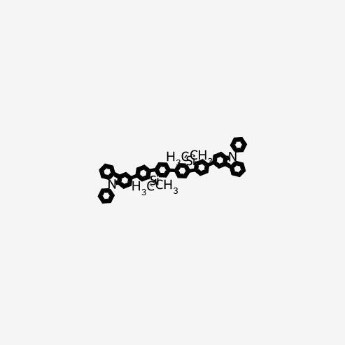 C[Si]1(C)c2cc(-c3ccc4c(c3)[Si](C)(C)c3cc(-c5ccc6c(c5)c5ccccc5n6-c5ccccc5)ccc3-4)ccc2-c2ccc(-c3ccc4c(c3)c3ccccc3n4-c3ccccc3)cc21